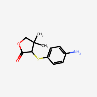 CC1(C)COC(=O)C1Sc1ccc(N)cc1